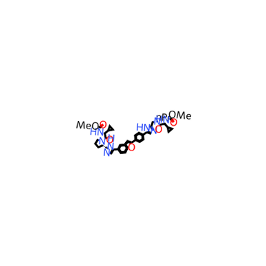 CCCN(Cc1ncc(-c2ccc(-c3cc4cc(-c5cnc([C@@H]6CCCN6C(=O)[C@H](NC(=O)OC)C6CC6)[nH]5)ccc4o3)cc2)[nH]1)C(=O)[C@H](NC(=O)OC)C1CC1